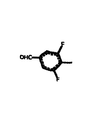 Cc1c(F)cc(C=O)cc1F